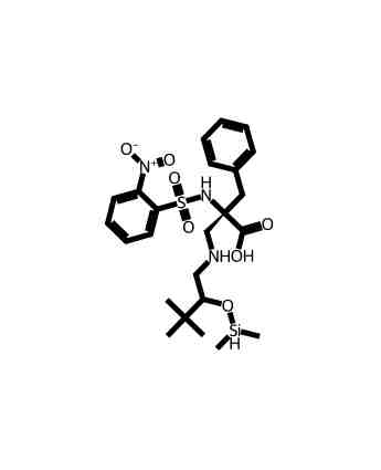 C[SiH](C)OC(CNC[C@](Cc1ccccc1)(NS(=O)(=O)c1ccccc1[N+](=O)[O-])C(=O)O)C(C)(C)C